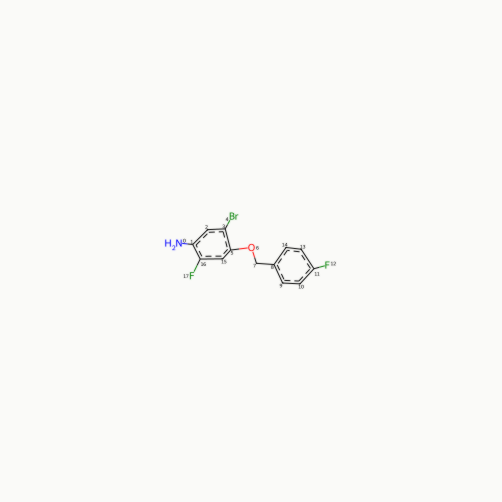 Nc1cc(Br)c(OCc2ccc(F)cc2)cc1F